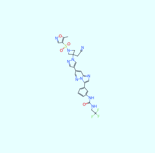 Cc1oncc1S(=O)(=O)N1CC(CC#N)(n2cc(-c3cnn4c(-c5cccc(NC(=O)NCC(F)(F)F)c5)cnc4c3)cn2)C1